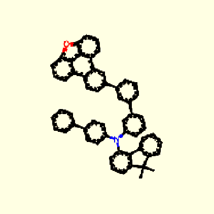 CC1(C)c2ccccc2-c2c(N(c3ccc(-c4ccccc4)cc3)c3cccc(-c4cccc(-c5ccc6c(c5)c5cccc7oc8cccc6c8c75)c4)c3)cccc21